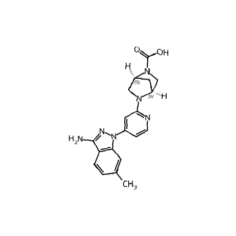 Cc1ccc2c(N)nn(-c3ccnc(N4C[C@@H]5C[C@H]4CN5C(=O)O)c3)c2c1